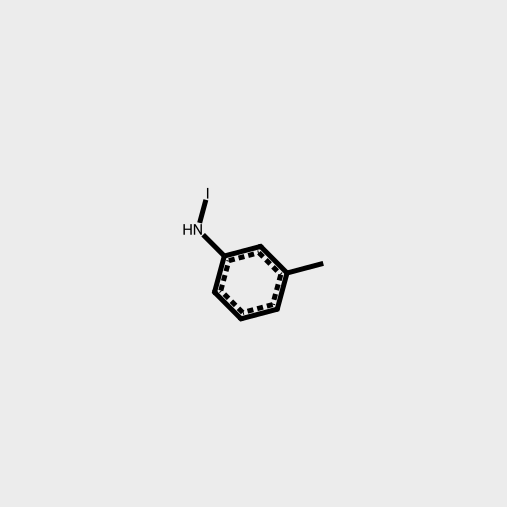 Cc1cccc(NI)c1